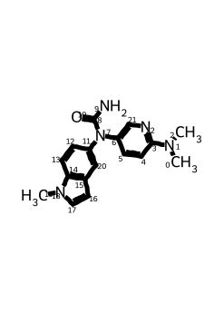 CN(C)c1ccc(N(C(N)=O)c2ccc3c(ccn3C)c2)cn1